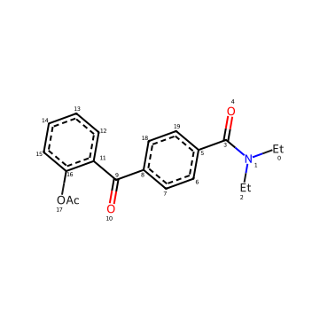 CCN(CC)C(=O)c1ccc(C(=O)c2ccccc2OC(C)=O)cc1